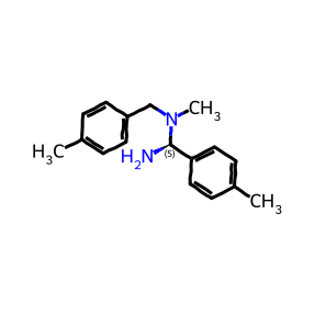 Cc1ccc(CN(C)[C@H](N)c2ccc(C)cc2)cc1